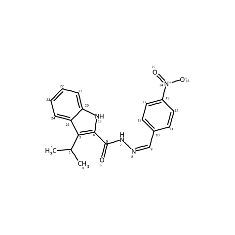 CC(C)c1c(C(=O)N/N=C\c2ccc([N+](=O)[O-])cc2)[nH]c2ccccc12